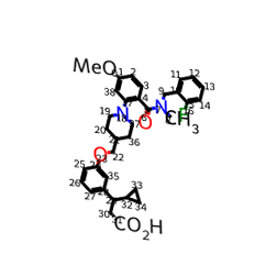 COc1ccc(C(=O)N(C)Cc2ccccc2F)c(N2CCC(COc3cccc(C(CC(=O)O)C4CC4)c3)CC2)c1